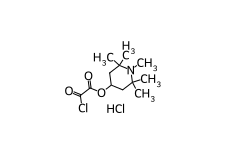 CN1C(C)(C)CC(OC(=O)C(=O)Cl)CC1(C)C.Cl